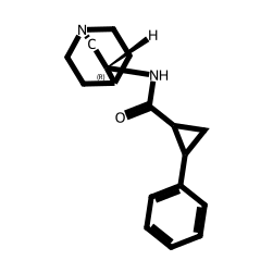 O=C(N[C@H]1CN2CCC1CC2)C1CC1c1ccccc1